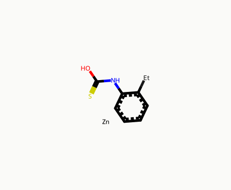 CCc1ccccc1NC(O)=S.[Zn]